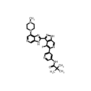 CN1CCN(c2cncc3[nH]c(-c4n[nH]c5cnc(-c6cncc(NC(=O)C(C)(C)C)c6)c(F)c45)nc23)CC1